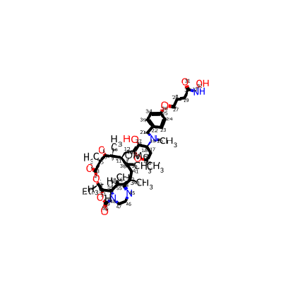 CC[C@H]1OC(=O)[C@H](C)C(=O)[C@H](C)[C@@H](C[C@@H]2O[C@H](C)C[C@H](N(C)Cc3ccc(OCCCC(=O)NO)cc3)[C@H]2O)[C@](C)(OC)C[C@@H](C)C2=NCCN3C(=O)O[C@@]1(C)[C@H]3[C@H]2C